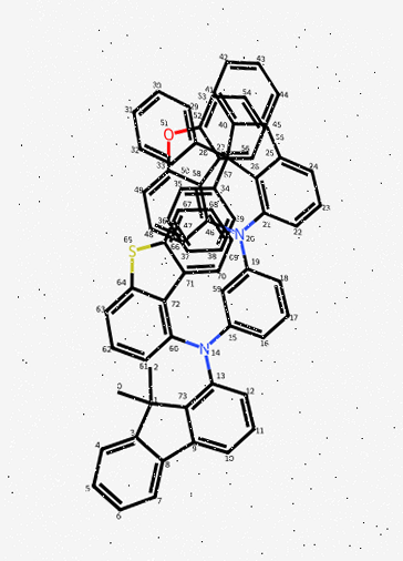 CC1(C)c2ccccc2-c2cccc(N(c3cccc(N(c4cccc5c4C(c4ccccc4)(c4ccccc4)c4ccccc4-5)c4cccc5oc6ccccc6c45)c3)c3cccc4sc5ccccc5c34)c21